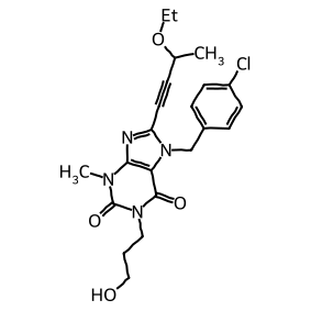 CCOC(C)C#Cc1nc2c(c(=O)n(CCCO)c(=O)n2C)n1Cc1ccc(Cl)cc1